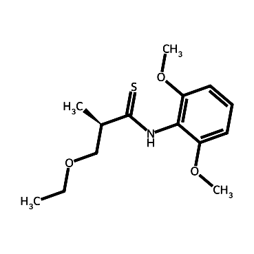 CCOC[C@@H](C)C(=S)Nc1c(OC)cccc1OC